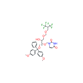 COc1ccc(C(OC[C@@H](OCn2ccc(=O)[nH]c2=O)C(O)COCOCC(C(F)(F)F)C(F)(F)F)(c2ccccc2)c2ccc(OC)cc2)cc1